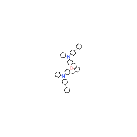 c1ccc(-c2ccc(N(c3ccccc3)c3ccc4c(c3)Cc3cccc5c3B4c3ccc(N(c4ccccc4)c4ccc(-c6ccccc6)cc4)cc3C5)cc2)cc1